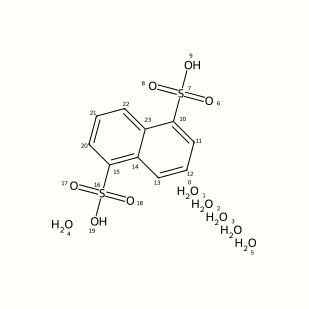 O.O.O.O.O.O.O=S(=O)(O)c1cccc2c(S(=O)(=O)O)cccc12